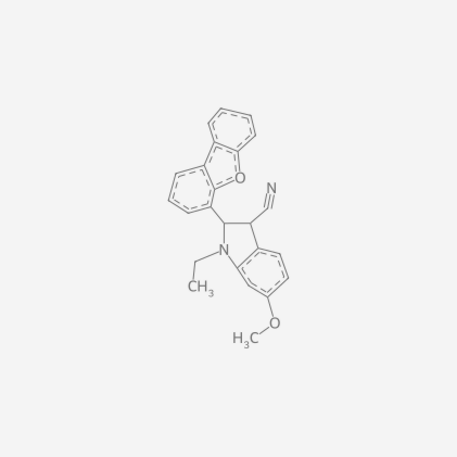 CCN1c2cc(OC)ccc2C(C#N)C1c1cccc2c1oc1ccccc12